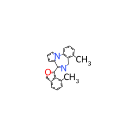 Cc1cccc2c1CN=C(c1occ3cccc(C)c13)c1cccn1-2